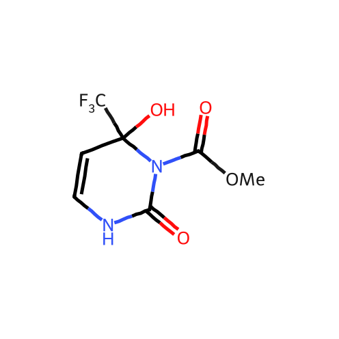 COC(=O)N1C(=O)NC=CC1(O)C(F)(F)F